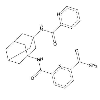 NC(=O)c1cccc(C(=O)NC23CC4CC(CC(NC(=O)c5ccccn5)(C4)C2)C3)n1